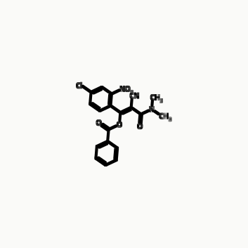 CN(C)C(=O)/C(C#N)=C(\OC(=O)c1ccccc1)c1ccc(Cl)cc1[N+](=O)[O-]